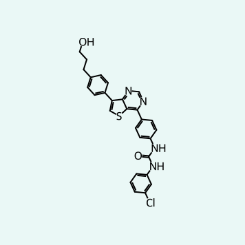 O=C(Nc1ccc(-c2ncnc3c(-c4ccc(CCCO)cc4)csc23)cc1)Nc1cccc(Cl)c1